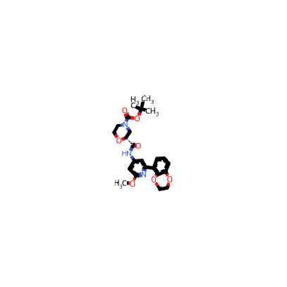 COc1cc(NC(=O)[C@H]2CN(C(=O)OC(C)(C)C)CCO2)cc(-c2cccc3c2OCCO3)n1